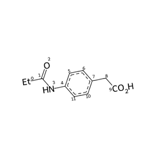 CCC(=O)Nc1ccc(CC(=O)O)cc1